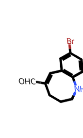 O=C/C1=C/c2cc(Br)ccc2NCCC1